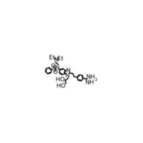 CCN(CC)CCN(c1ccc2c(c1)nc(CCc1ccc(C(=N)N)cc1)n2CC(O)CO)S(=O)(=O)c1ccccc1